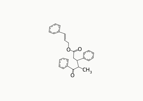 CC(C(=O)c1ccccc1)C(CC(=O)OC/C=C/c1ccccc1)c1ccccc1